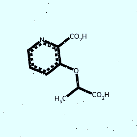 CC(Oc1cccnc1C(=O)O)C(=O)O